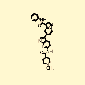 CN1CCC(C(=O)Nc2ccc3c(-c4ccn5ncc(C(=O)Nc6cccnc6)c5c4)c[nH]c3n2)CC1